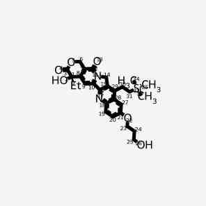 CC[C@@]1(O)C(=O)OCc2c1cc1n(c2=O)Cc2c-1nc1ccc(OCCCO)cc1c2CC[Si](C)(C)C